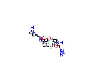 [N-]=[N+]=NCCCCC(=O)Nc1ccc(CCOc2ccc([C@H](CC(=O)O)N3CCN(CCCc4ccc5c(n4)NCCC5)C3=O)cc2F)cc1